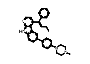 CC/C=C(\c1ccccc1)c1ccnc2[nH]c3ccc(-c4ccc(N5CCN(C)CC5)cc4)cc3c12